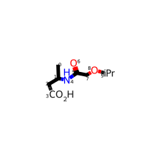 CC(CC(=O)O)NC(=O)COC(C)C